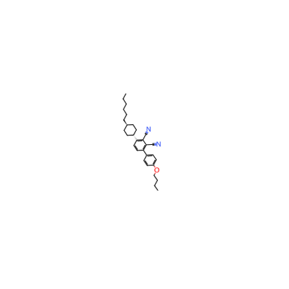 CCCCCC[C@H]1CC[C@H](c2ccc(-c3ccc(OCCCC)cc3)c(C#N)c2C#N)CC1